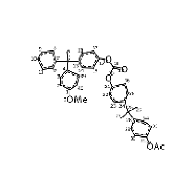 COc1ccc(C(C)(c2ccccc2)c2ccc(OC(=O)Oc3ccc(C(C)(C)c4ccc(OC(C)=O)cc4)cc3)cc2)cc1